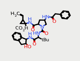 C=CC1CC1(NC(=O)C1CC(NC(=O)Cc2ccccc2)CN1C(=O)NC(C(=O)NC1c2ccccc2CC1O)C(C)(C)C)C(=O)O